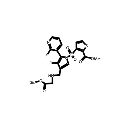 COC(=O)c1sccc1S(=O)(=O)n1cc(CNCC(=O)OC(C)(C)C)c(F)c1-c1cccnc1F